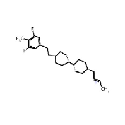 C/C=C/C[C@H]1CC[C@H]([C@H]2CC[C@H](CCc3cc(F)c(C(F)(F)F)c(F)c3)CC2)CC1